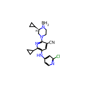 BN1CCN(c2nc(C3CC3)c(Nc3ccnc(Cl)c3)cc2C#N)C[C@H]1C1CC1